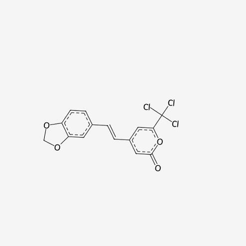 O=c1cc(C=Cc2ccc3c(c2)OCO3)cc(C(Cl)(Cl)Cl)o1